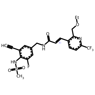 C#Cc1cc(CNC(=O)/C=C/c2ccc(C(F)(F)F)nc2COCC)cc(F)c1NS(C)(=O)=O